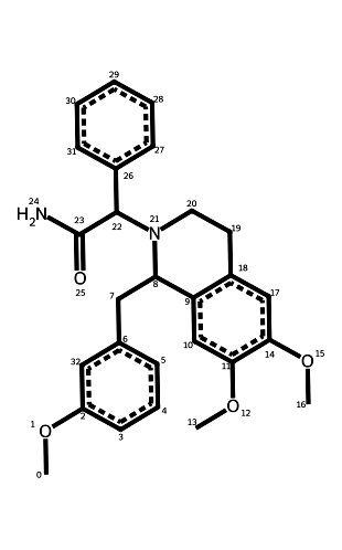 COc1cccc(CC2c3cc(OC)c(OC)cc3CCN2C(C(N)=O)c2ccccc2)c1